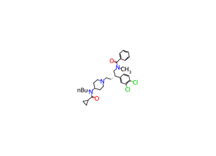 CCCCN(C(=O)C1CC1)C1CCN(CC[C@H](CN(C)C(=O)c2ccccc2)c2ccc(Cl)c(Cl)c2)CC1